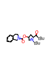 CC(C)(C)C(=O)C1CC(OC(=O)N2CCc3ccccc3C2)CN1C(C)(C)C